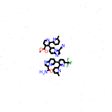 COC(=O)c1ccnc(-c2cccc(C)n2)c1-c1ccc2ncc(C#N)n2c1.Cc1cccc(-c2nc(C(F)(F)F)ccc2-c2ccc3ncc(C(N)=O)n3c2)n1